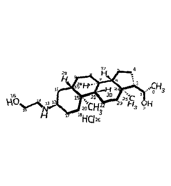 C[C@H](O)[C@H]1CC[C@H]2[C@@H]3CC[C@H]4C[C@H](NCCO)CC[C@]4(C)[C@H]3CC[C@]12C.Cl